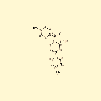 CC(C)N1CCN(C(=O)C2CCN(c3ccc(C#N)nc3)CC2)CC1.Cl